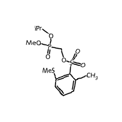 COP(=O)(COS(=O)(=O)c1c(C)cccc1SC)OC(C)C